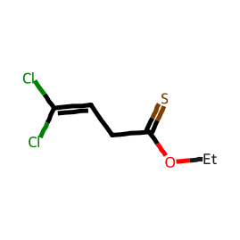 CCOC(=S)CC=C(Cl)Cl